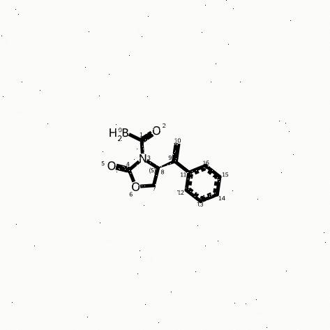 BC(=O)N1C(=O)OC[C@@H]1C(=C)c1ccccc1